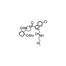 COc1cccc(OC)c1C1CCN(C(=O)c2cn(CC(=O)NCCN(C)C)c3cc(Cl)ccc23)CC1